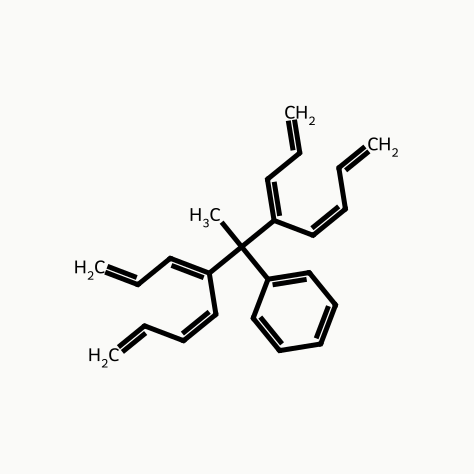 C=C/C=C\C(=C/C=C)C(C)(C(/C=C\C=C)=C/C=C)c1ccccc1